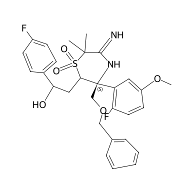 COc1ccc(F)c([C@@]2(COCc3ccccc3)NC(=N)C(C)(C)S(=O)(=O)C2CC(O)c2ccc(F)cc2)c1